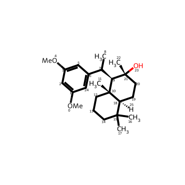 COc1cc(OC)cc(C(C)[C@@H]2[C@@]3(C)CCCC(C)(C)[C@@H]3CC[C@@]2(C)O)c1